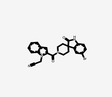 N#CCn1c(C(=O)N2CCC3(CC2)C(=O)Nc2ccc(Br)cc23)cc2ccccc21